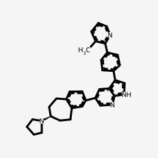 Cc1cccnc1-c1ccc(-c2c[nH]c3ncc(-c4ccc5c(c4)CC[C@@H](N4CCCC4)CC5)cc23)cc1